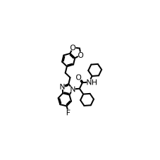 O=C(NC1CCCCC1)C(C1CCCCC1)n1c(CCc2ccc3c(c2)OCO3)nc2ccc(F)cc21